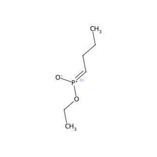 CCC/C=[P+](\[O-])OCC